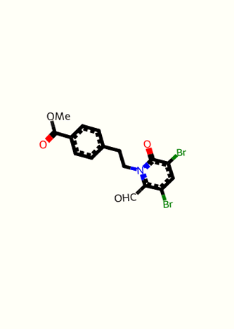 COC(=O)c1ccc(CCn2c(C=O)c(Br)cc(Br)c2=O)cc1